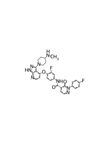 CNC1CCN(c2n[nH]c3nccc(Oc4ccc(NC(=O)c5ccnn(-c6ccc(F)cc6)c5=O)cc4F)c23)CC1